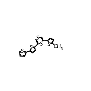 Cc1ccc(C2=CSC=C(c3ccc(-c4cccs4)s3)S2)s1